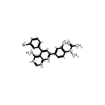 CC(=O)N(C)c1ccc(-c2cc(-c3cccc(Br)c3)c3c(N)ncnc3n2)cc1C